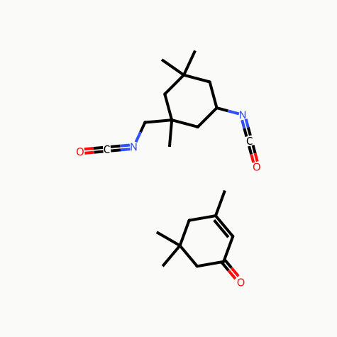 CC1(C)CC(N=C=O)CC(C)(CN=C=O)C1.CC1=CC(=O)CC(C)(C)C1